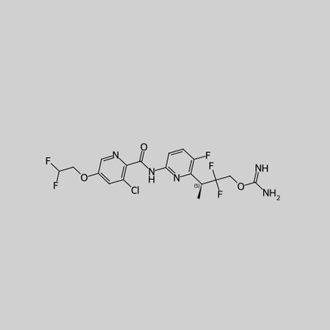 C[C@@H](c1nc(NC(=O)c2ncc(OCC(F)F)cc2Cl)ccc1F)C(F)(F)COC(=N)N